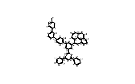 Cc1ccc(-c2cccc(-c3ccc(-c4cc(-c5nc(-c6ccccc6)cc(-c6ccccc6)n5)cc(-c5cc6cccc7ccc8cccc5c8c76)c4)cc3)c2)cn1